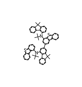 CC1(C)c2ccccc2-c2c(N(c3cc(-c4cc(N(c5cccc6sc7ccccc7c56)C(C)(C)C)c5c(c4)C(C)(C)c4ccccc4-5)cc4c3sc3ccccc34)C(C)(C)C)cccc21